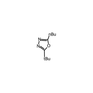 CCCCc1nnc(C(C)(C)C)o1